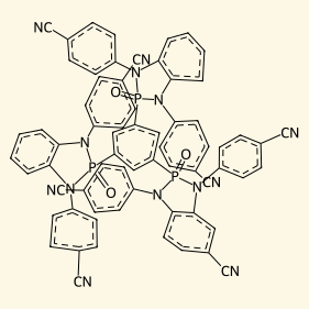 N#Cc1ccc(N2c3ccccc3N(c3ccc(C#N)cc3)P2(=O)c2cc(P3(=O)N(c4ccc(C#N)cc4)c4ccccc4N3c3ccc(C#N)cc3)cc(P3(=O)N(c4ccc(C#N)cc4)c4ccc(C#N)cc4N3c3ccc(C#N)cc3)c2)cc1